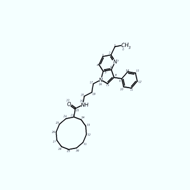 CCc1ccc2c(n1)c(-c1ccccc1)cn2CCCNC(=O)C1CCCCCCCCCCC1